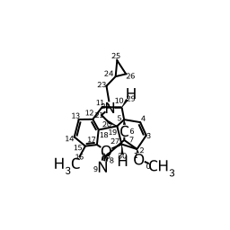 CO[C@]12C=C[C@@]3(CC1C#N)[C@H]1Cc4ccc(C)c5c4[C@@]3(CCN1CC1CC1)[C@H]2O5